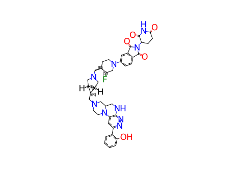 O=C1CCC(N2C(=O)c3ccc(N4CC[C@H](CN5C[C@@H]6[C@@H](CN7CCN8c9cc(-c%10ccccc%10O)nnc9NCC8C7)[C@@H]6C5)[C@H](F)C4)cc3C2=O)C(=O)N1